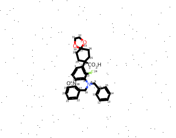 O=C(O)C1(c2ccc([N+](=O)[O-])c(N(Cc3ccccc3)Cc3ccccc3)c2F)CCC2(CC1)OCCO2